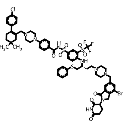 CC1(C)CCC(c2ccc(Cl)cc2)=C(CN2CCN(c3ccc(C(=O)NS(=O)(=O)c4ccc(N[C@H](CCN5CCN(Cc6cc(Br)c7c(c6)C(=O)N(C6CCC(=O)NC6=O)C7)CC5)CSc5ccccc5)c(S(=O)(=O)C(F)(F)F)c4)cc3)CC2)C1